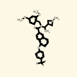 COc1ccc(CN(C(=O)c2ccc3c(Oc4ccc(C(F)(F)F)cc4)cccc3c2)C(C)C2CN(C)C2)c(OC)c1